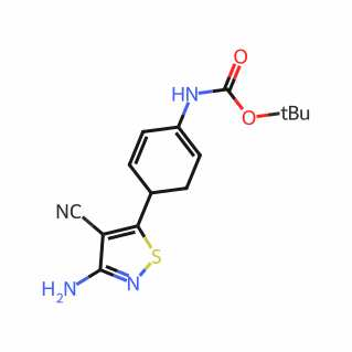 CC(C)(C)OC(=O)NC1=CCC(c2snc(N)c2C#N)C=C1